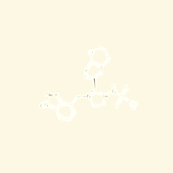 O=S(=O)(N[C@@H]1CCN(Cc2cccc3[nH]ncc23)[C@H]1c1ccc2c(c1)OCCO2)C1CC1